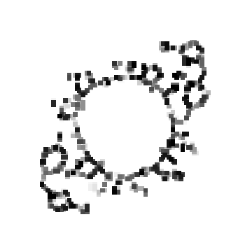 CC(C)C[C@H]1C(=O)O[C@H](Cc2ccc(Cn3ccc(Cl)n3)cc2)C(=O)N(C)[C@@H](CC(C)C)C(=O)O[C@H](C)C(=O)N(C)[C@@H](CC(C)C)C(=O)O[C@H](Cc2ccc(Cn3ccc(Cl)n3)cc2)C(=O)N(C)[C@@H](CC(C)C)C(=O)O[C@H](C)C(=O)N1C